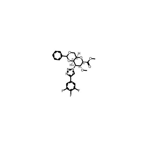 COC(=O)[C@@H]1O[C@@H]2COC(c3ccccc3)O[C@@H]2[C@H](n2cc(-c3cc(F)c(F)c(F)c3)nn2)[C@H]1OC